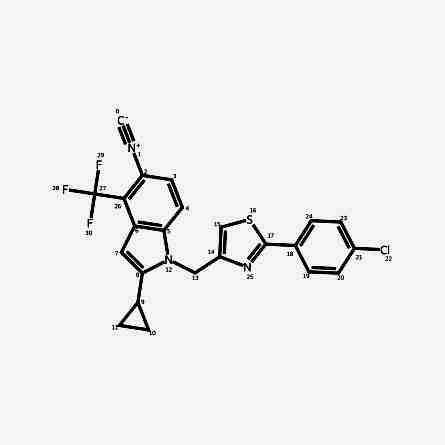 [C-]#[N+]c1ccc2c(cc(C3CC3)n2Cc2csc(-c3ccc(Cl)cc3)n2)c1C(F)(F)F